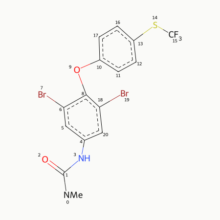 CNC(=O)Nc1cc(Br)c(Oc2ccc(SC(F)(F)F)cc2)c(Br)c1